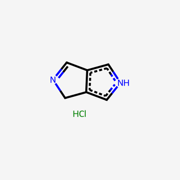 C1=NCc2c[nH]cc21.Cl